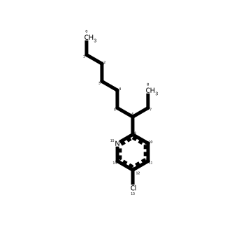 CCCCCCC(CC)c1ccc(Cl)cn1